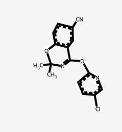 CC1(C)N=C(Oc2ccc(Cl)cn2)c2cc(C#N)ccc2O1